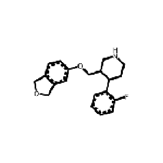 Fc1ccccc1C1CCNCC1COc1ccc2c(c1)COC2